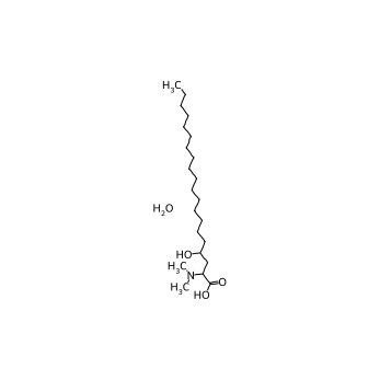 CCCCCCCCCCCCCCCCC(O)CC(C(=O)O)N(C)C.O